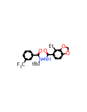 CCc1c(C(=O)NN(C(=O)c2cccc(C(F)(F)F)c2)C(C)(C)C)ccc2c1OCO2